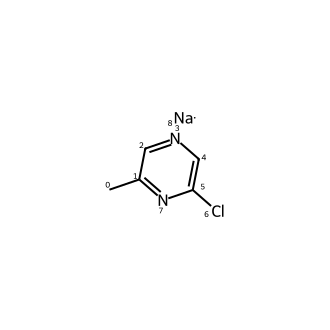 Cc1cncc(Cl)n1.[Na]